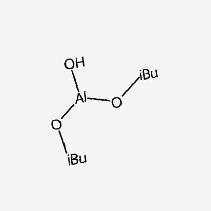 CCC(C)[O][Al]([OH])[O]C(C)CC